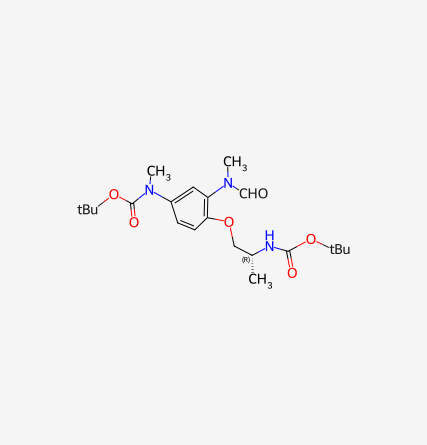 C[C@H](COc1ccc(N(C)C(=O)OC(C)(C)C)cc1N(C)C=O)NC(=O)OC(C)(C)C